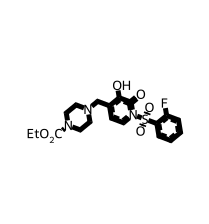 CCOC(=O)N1CCN(Cc2ccn(S(=O)(=O)c3ccccc3F)c(=O)c2O)CC1